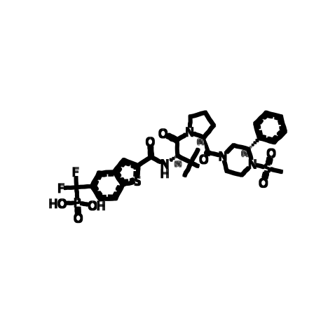 CC(C)(C)[C@H](NC(=O)c1cc2cc(C(F)(F)P(=O)(O)O)ccc2s1)C(=O)N1CCC[C@H]1C(=O)N1CCN(S(C)(=O)=O)[C@@H](c2ccccc2)C1